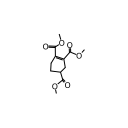 COC(=O)C1=C(C(=O)OC)CC(C(=O)OC)CC1